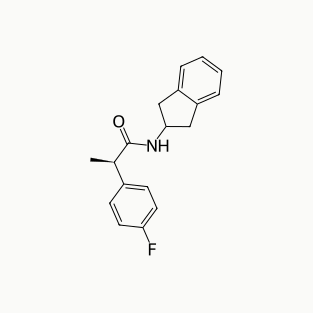 C[C@@H](C(=O)NC1Cc2ccccc2C1)c1ccc(F)cc1